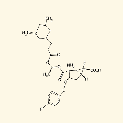 C=C1CC(C)CC(CCC(=O)O[C@H](C)OC(=O)[C@@]2(N)C3[C@@H](C[C@H]2OCc2ccc(F)cc2)[C@]3(F)C(=O)O)C1